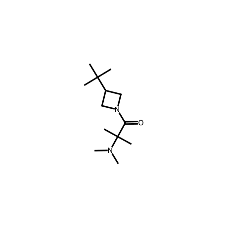 CN(C)C(C)(C)C(=O)N1CC(C(C)(C)C)C1